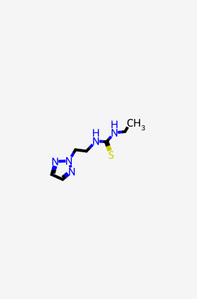 CCNC(=S)NCCn1nccn1